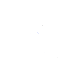 CSn1c(=O)cc(O)c2nc(C#N)ccc21